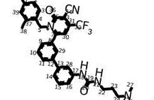 Cc1ccc(Cn2c(-c3cccc(-c4cccc(NC(=O)NCCCN(C)C)c4)c3)cc(C(F)(F)F)c(C#N)c2=O)c(C)c1